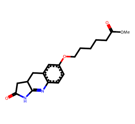 COC(=O)CCCCCOc1ccc2c(c1)CC1CC(=O)NC1=N2